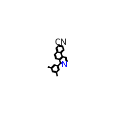 Cc1cc(C)cc(-c2nccc3c2ccc2cc(C#N)ccc23)c1